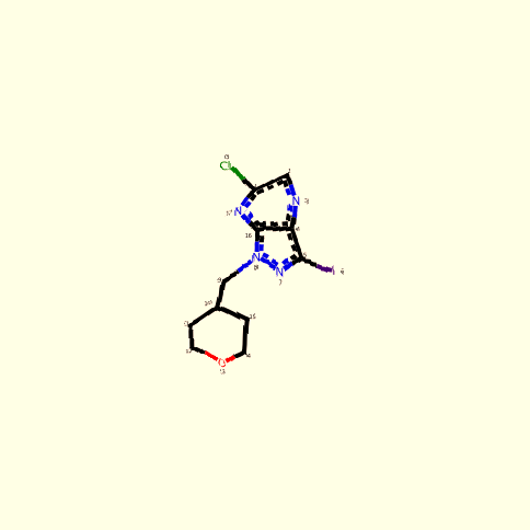 Clc1cnc2c(I)nn(CC3CCOCC3)c2n1